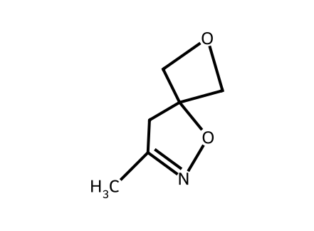 CC1=NOC2(COC2)C1